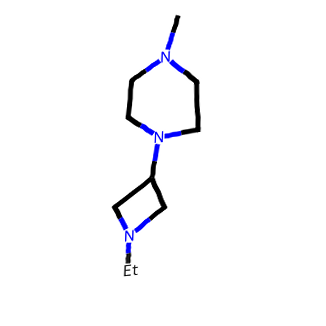 CCN1CC(N2CCN(C)CC2)C1